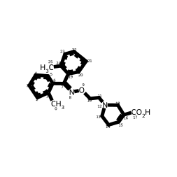 Cc1ccccc1C(=NOCCN1CCC=C(C(=O)O)C1)c1ccccc1C